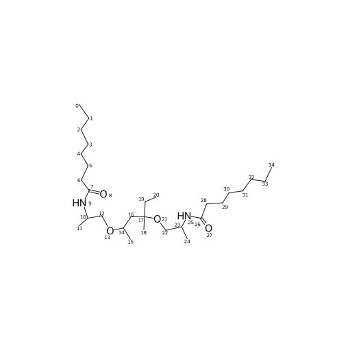 CCCCCCCC(=O)NC(C)COC(C)CC(C)(CC)OCC(C)NC(=O)CCCCCCC